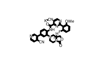 COc1cccc(F)c1-c1nccc(C(=O)Nc2ccc(-c3cnccc3C#N)cc2N2CCN3C(=O)OC[C@H]3C2)n1.N#[C][K]